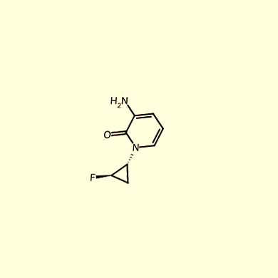 Nc1cccn([C@@H]2C[C@H]2F)c1=O